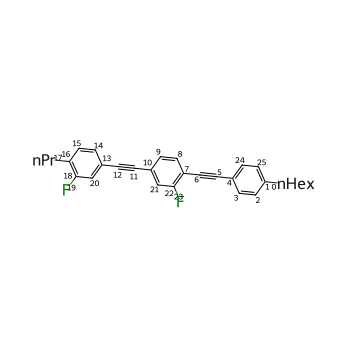 CCCCCCc1ccc(C#Cc2ccc(C#Cc3ccc(CCC)c(F)c3)cc2F)cc1